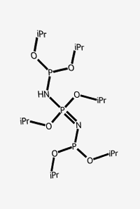 CC(C)OP(N=P(NP(OC(C)C)OC(C)C)(OC(C)C)OC(C)C)OC(C)C